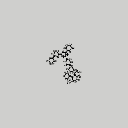 CC1(C)c2cccc(-c3cccc(-c4ccc(-c5nc(-c6ccccc6)cc(-c6cccc(-c7ccccc7)c6)n5)cc4)c3)c2-c2c1ccc1ccccc21